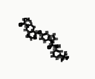 CC(=O)N1CCc2c(ncnc2Oc2ccc3c(ccn3C(=O)Nc3cccc(C(F)(F)F)c3)c2)C1